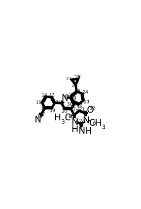 CN1C(=N)N[C@](C)(c2ccnc(-c3cccc(C#N)c3)c2)[C@H](c2ccc(C3CC3)cc2)C1=O